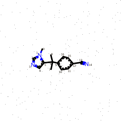 Cn1cncc1C(C)(C)c1ccc(C#N)cc1